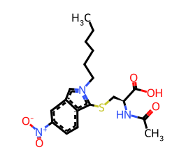 CCCCCCn1cc2cc([N+](=O)[O-])ccc2c1SC[C@H](NC(C)=O)C(=O)O